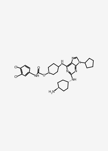 N[C@H]1CC[C@H](Nc2nc(NC3CCN(OC(=O)Nc4ccc(Cl)c(Cl)c4)CC3)c3ncn(C4CCCC4)c3n2)CC1